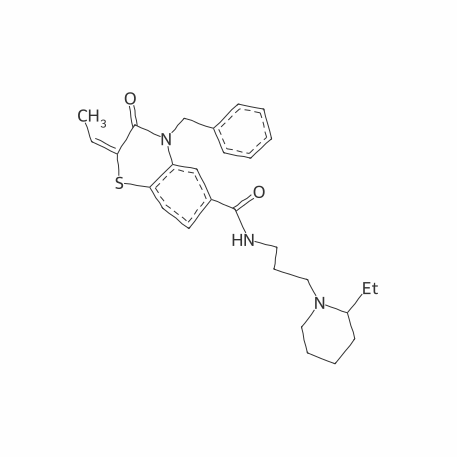 CC=C1Sc2ccc(C(=O)NCCCN3CCCCC3CC)cc2N(Cc2ccccc2)C1=O